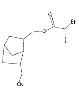 CCC(I)C(=O)OCC1CC2CC(CC#N)C1C2